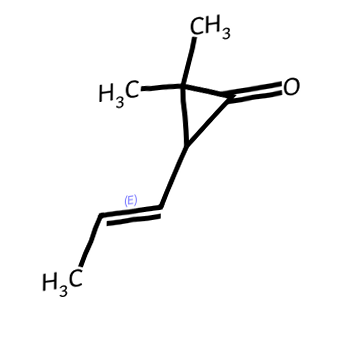 C/C=C/C1C(=O)C1(C)C